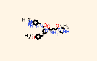 COc1ccc(C[C@@H]2C[C@@H](C(=O)NCc3ccc4c(c3)nnn4C)N(C(=O)[C@H](N)CCC(=O)N3CCNC[C@H]3C)C2)cc1